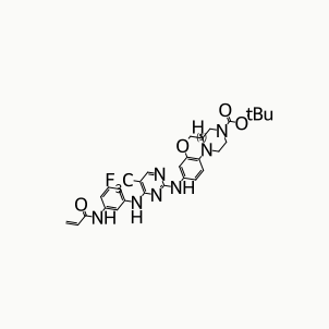 C=CC(=O)Nc1cccc(Nc2nc(Nc3ccc4c(c3)OC[C@@H]3CN(C(=O)OC(C)(C)C)CCN43)ncc2C(F)(F)F)c1